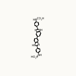 O=C(O)Nc1ccc(-c2nc3cc(-c4ccc5[nH]c(-c6ccc(NC(=O)O)cc6)nc5c4)ccc3[nH]2)cc1